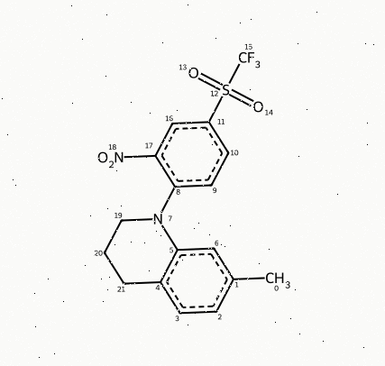 Cc1ccc2c(c1)N(c1ccc(S(=O)(=O)C(F)(F)F)cc1[N+](=O)[O-])CCC2